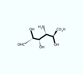 N[C@@H]([C@H](O)[C@@H](O)C=O)[C@H](O)C(=O)O